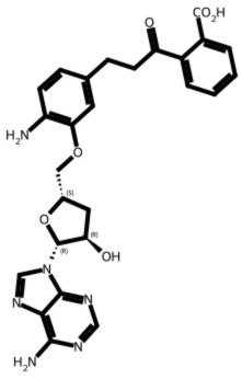 Nc1ccc(CCC(=O)c2ccccc2C(=O)O)cc1OC[C@@H]1C[C@@H](O)[C@H](n2cnc3c(N)ncnc32)O1